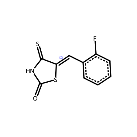 O=C1NC(=S)/C(=C/c2ccccc2F)S1